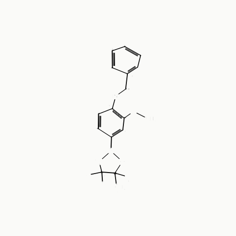 COc1cc(B2OC(C)(C)C(C)(C)O2)ccc1NCc1ccccc1